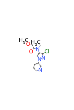 CCN(C(=O)COC)c1cn(-c2cccnc2)nc1Cl